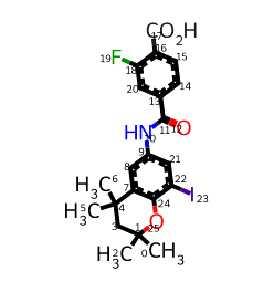 CC1(C)CC(C)(C)c2cc(NC(=O)c3ccc(C(=O)O)c(F)c3)cc(I)c2O1